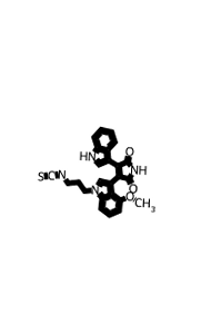 COc1cccc2c1c(C1=C(c3c[nH]c4ccccc34)C(=O)NC1=O)cn2CCCN=C=S